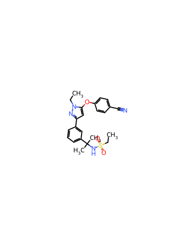 CCn1nc(-c2cccc(C(C)(C)NS(=O)(=O)CC)c2)cc1Oc1ccc(C#N)cc1